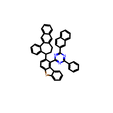 c1ccc(-c2nc(-c3ccc4ccccc4c3)nc(-c3c(C4CCc5cc6ccccc6cc5-c5ccccc54)ccc4sc5ccccc5c34)n2)cc1